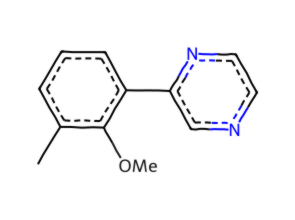 COc1c(C)cccc1-c1cnccn1